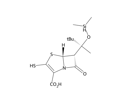 C[SiH](C)O[C@@](C)([C@@H]1C(=O)N2C(C(=O)O)=C(S)S[C@H]12)C(C)(C)C